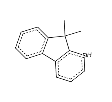 CC1(C)c2ccccc2-c2ccc[siH]c21